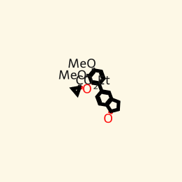 CCOC(=O)C1(Oc2c(-c3ccc4c(c3)CCC4=O)ccc(OC)c2OC)CC1